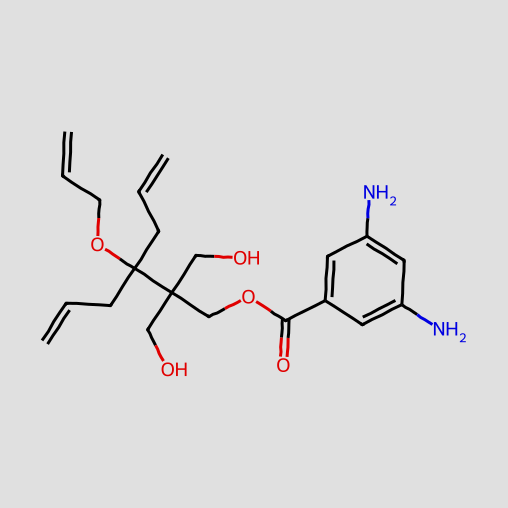 C=CCOC(CC=C)(CC=C)C(CO)(CO)COC(=O)c1cc(N)cc(N)c1